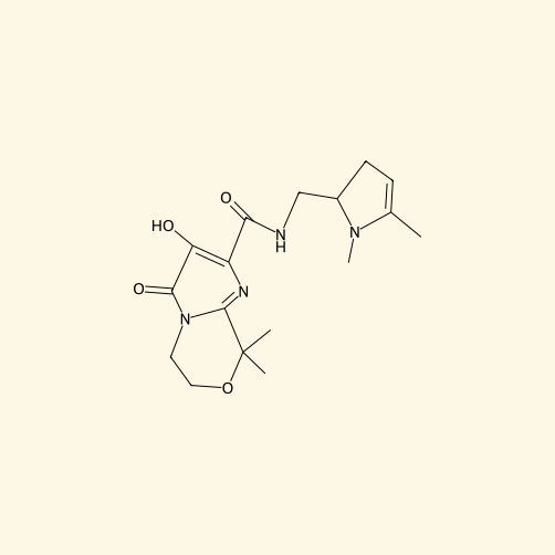 CC1=CCC(CNC(=O)c2nc3n(c(=O)c2O)CCOC3(C)C)N1C